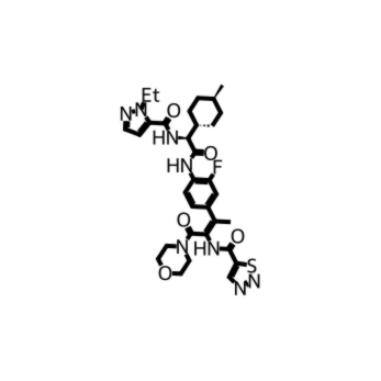 CCn1nccc1C(=O)N[C@H](C(=O)Nc1ccc(/C(C)=C(/NC(=O)c2cnns2)C(=O)N2CCOCC2)cc1F)[C@H]1CC[C@H](C)CC1